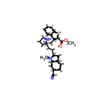 COC(=O)c1sc2ccccc2c1C[C@@]1(CCc2cc3ccc(C#N)cc3n2C)CCCN1